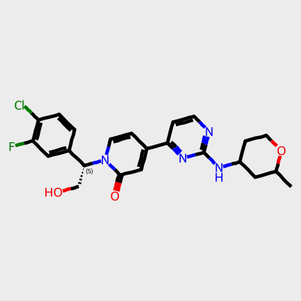 CC1CC(Nc2nccc(-c3ccn([C@H](CO)c4ccc(Cl)c(F)c4)c(=O)c3)n2)CCO1